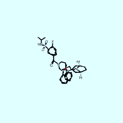 Cc1nc2ccccc2n1C1C[C@H]2CC[C@@H](C1)N2CCC1(c2ccccc2)CCN(C(=O)c2ccc(F)c(S(=O)(=O)NC(C)C)c2)CC1